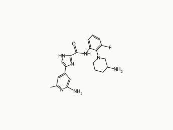 Cc1cc(-c2c[nH]c(C(=O)Nc3cccc(F)c3N3CCCC(N)C3)n2)cc(N)n1